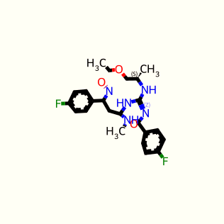 CCOC[C@H](C)N/C(=N/C(=O)c1ccc(F)cc1)NC(CC(N=O)c1ccc(F)cc1)NC